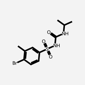 Cc1cc(S(=O)(=O)NC(=O)NC(C)C)ccc1Br